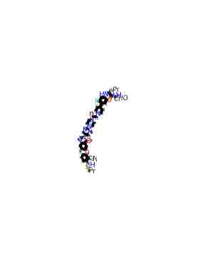 CCCC(Nc1ccc(C2CCN(CC(=O)N3CCN(c4ncc(-n5cnc6ccc(Oc7c(F)ccc(NSC(C)C)c7C#N)cc6c5=O)cn4)CC3)CC2)c(F)c1)C(=O)NC=O